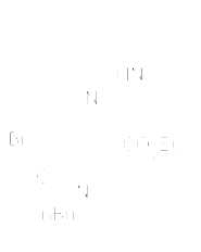 CCCCC1Oc2c(Br)cc3c(c2CN1C)c(C(=O)OCC)c(CNc1ccccc1)n3C